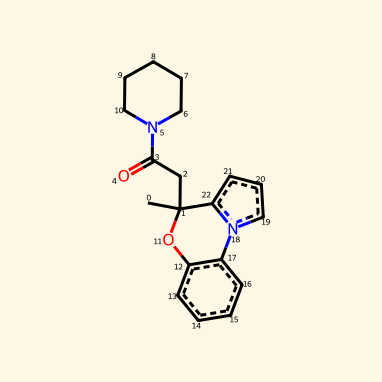 CC1(CC(=O)N2CCCCC2)Oc2ccccc2-n2cccc21